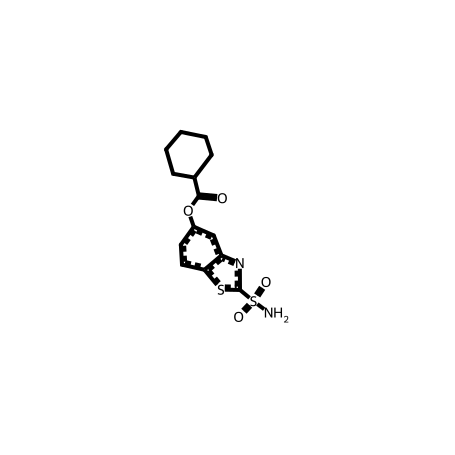 NS(=O)(=O)c1nc2cc(OC(=O)C3CCCCC3)ccc2s1